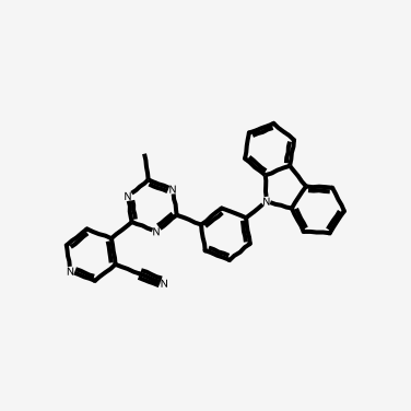 Cc1nc(-c2cccc(-n3c4ccccc4c4ccccc43)c2)nc(-c2ccncc2C#N)n1